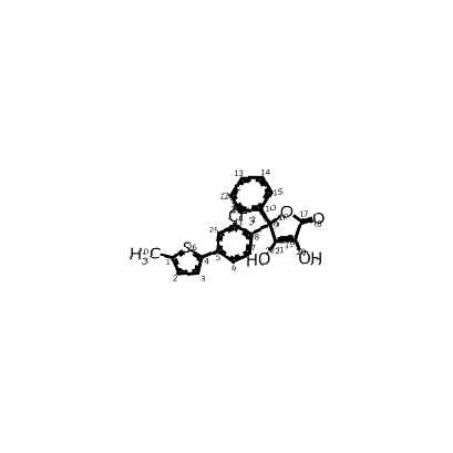 Cc1ccc(-c2ccc(C3(c4ccccc4)OC(=O)C(O)=C3O)c(C(F)(F)F)c2)s1